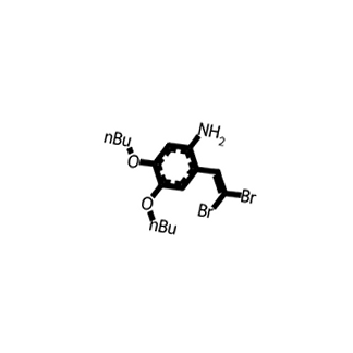 CCCCOc1cc(N)c(C=C(Br)Br)cc1OCCCC